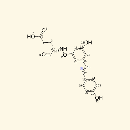 O=C[C@H](CCC(=O)O)NOc1cc(O)cc(/C=C/c2ccc(O)cc2)c1